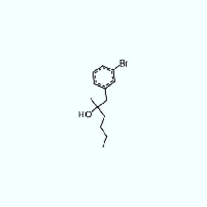 CCCCC(C)(O)Cc1cccc(Br)c1